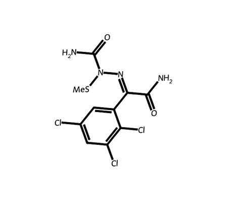 CSN(/N=C(/C(N)=O)c1cc(Cl)cc(Cl)c1Cl)C(N)=O